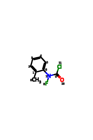 Cc1ccccc1N(F)C(=O)Cl